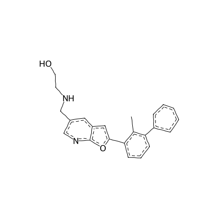 Cc1c(-c2ccccc2)cccc1-c1cc2cc(CNCCO)cnc2o1